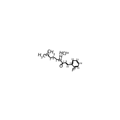 CN(C)CCCNC(=O)/C=C/c1ccccc1F.Cl